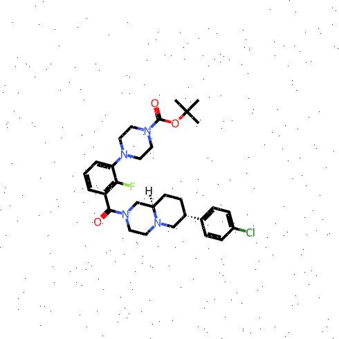 CC(C)(C)OC(=O)N1CCN(c2cccc(C(=O)N3CCN4C[C@@H](c5ccc(Cl)cc5)CC[C@@H]4C3)c2F)CC1